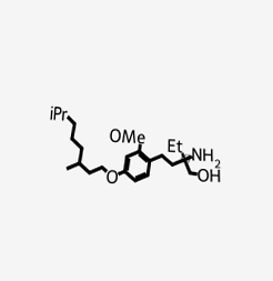 CC[C@@](N)(CO)CCc1ccc(OCCC(C)CCCC(C)C)cc1OC